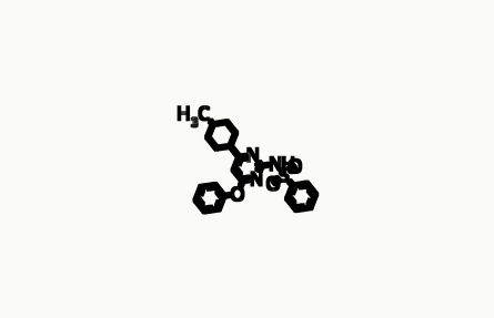 CC1CCC(c2cc(Oc3ccccc3)nc(NS(=O)(=O)c3ccccc3)n2)CC1